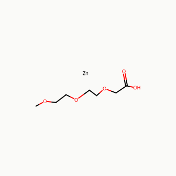 COCCOCCOCC(=O)O.[Zn]